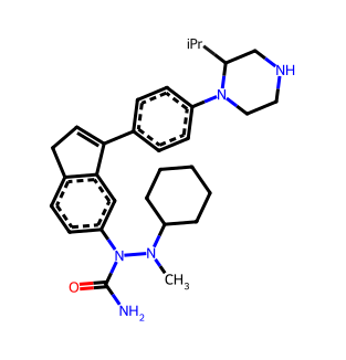 CC(C)C1CNCCN1c1ccc(C2=CCc3ccc(N(C(N)=O)N(C)C4CCCCC4)cc32)cc1